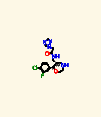 O=C(Cn1cncn1)NC[C@@H]1CNCCO[C@H]1c1ccc(Cl)c(F)c1